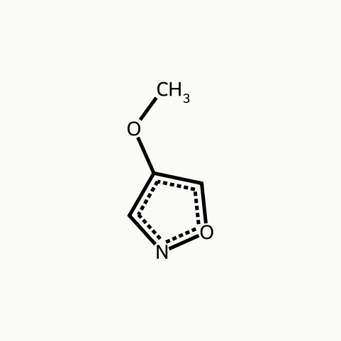 COc1cnoc1